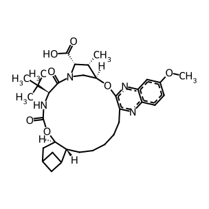 COc1ccc2nc3c(nc2c1)O[C@H]1CN(C(=O)[C@H](C(C)(C)C)NC(=O)O[C@@H]2CC4CC(C4)[C@H]2CCCCC3)[C@H](C(=O)O)[C@@H]1C